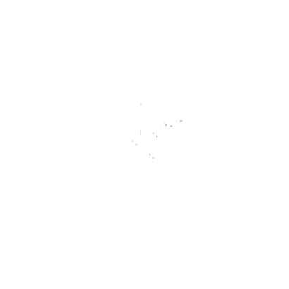 OCc1ccccc1OP1(Oc2ccccc2)=NP(Oc2ccccc2)N(Oc2ccccc2)P(Oc2ccccc2)N1Oc1ccccc1